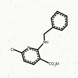 CCOC(=O)c1ccc(Cl)nc1NCc1ccccc1